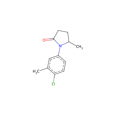 Cc1cc(N2C(=O)CCC2C)ccc1Cl